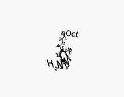 CCCCCCCCCCCCc1cc[n+](C)c(N)c1.[I-]